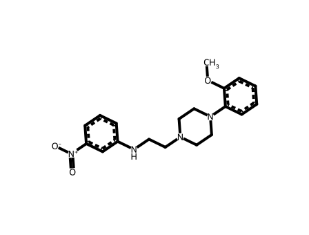 COc1ccccc1N1CCN(CCNc2cccc([N+](=O)[O-])c2)CC1